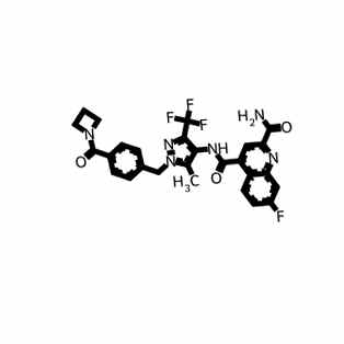 Cc1c(NC(=O)c2cc(C(N)=O)nc3cc(F)ccc23)c(C(F)(F)F)nn1Cc1ccc(C(=O)N2CCC2)cc1